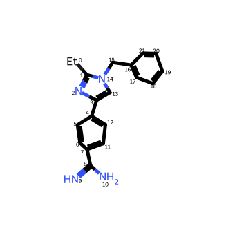 CCc1nc(-c2ccc(C(=N)N)cc2)cn1Cc1ccccc1